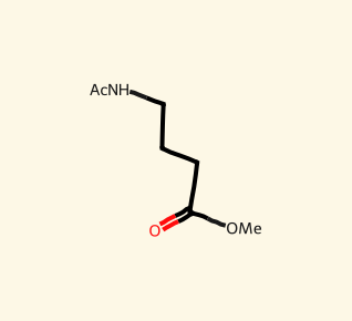 [CH2]C(=O)NCCCC(=O)OC